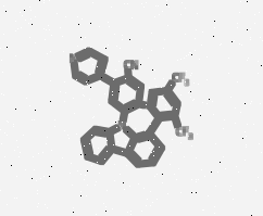 Cc1cc(C#N)c(-c2ccncc2)cc1-n1c2ccccc2c2cccc(-c3ccc(C(F)(F)F)cc3C(F)(F)F)c21